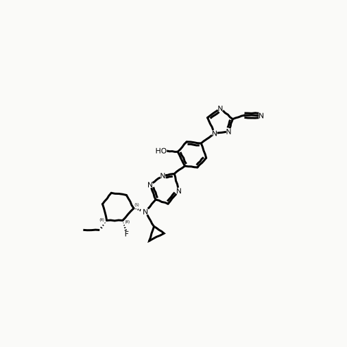 CC[C@@H]1CCC[C@H](N(c2cnc(-c3ccc(-n4cnc(C#N)n4)cc3O)nn2)C2CC2)[C@@H]1F